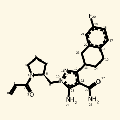 C=CC(=O)N1CCC[C@H]1Cn1nc(C2CCc3ccc(F)cc3C2)c(C(N)=O)c1N